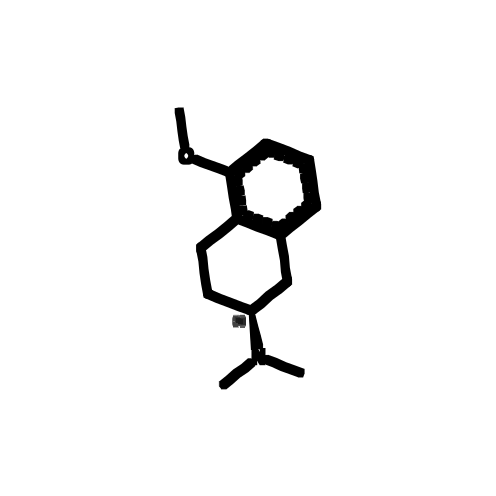 COc1cccc2c1CC[C@H](N(C)C)C2